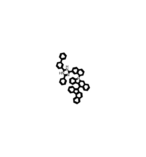 C1=CCC(C2=NC(c3ccc4c(c3)C(N3c5ccccc5C5=C(C6=C7C=CC=CC7c7c6ccc6ccccc76)C6=CC=CCC6CC53)CC=C4)NC(C3=CC(c4ccccc4)CC=C3)N2)C=C1